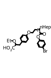 CCCCCCCN(CCOc1ccc(CC(OCC)C(=O)O)cc1)C(=O)Oc1ccc(Br)cc1